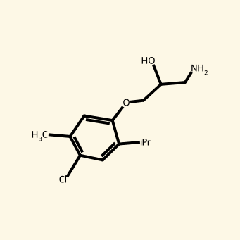 Cc1cc(OCC(O)CN)c(C(C)C)cc1Cl